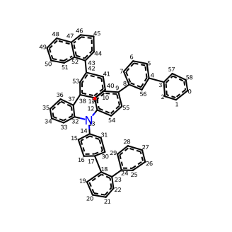 c1ccc(-c2cccc(-c3ccc(N(c4ccc(-c5ccccc5-c5ccccc5)cc4)c4ccccc4-c4cccc(-c5cccc6ccccc56)c4)cc3)c2)cc1